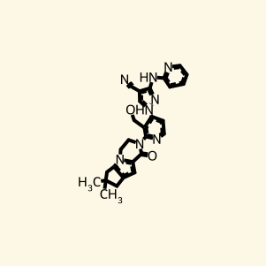 CC1(C)Cc2cc3n(c2C1)CCN(c1nccc(-n2cc(C#N)c(Nc4ccccn4)n2)c1CO)C3=O